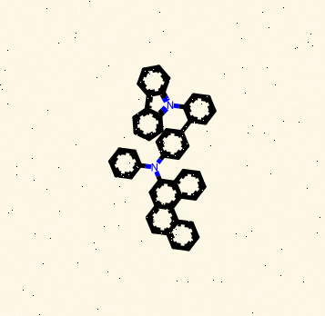 c1ccc(N(c2ccc(-c3ccccc3-n3c4ccccc4c4ccccc43)cc2)c2cc3ccc4ccccc4c3c3ccccc23)cc1